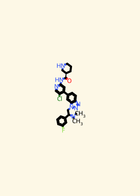 CN(C)C(Cn1nnc2ccc(-c3cc(NC(=O)[C@@H]4CCCNC4)ncc3Cl)cc21)c1cccc(F)c1